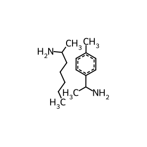 CCCCCC(C)N.Cc1ccc(C(C)N)cc1